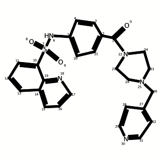 O=C(c1ccc(NS(=O)(=O)c2cccc3cccnc23)cc1)N1CCN(Cc2ccncc2)CC1